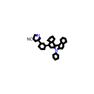 N#Cc1cncc(-c2cccc(-c3cc4c(c5ccccc35)c3c5ccccc5ccc3n4-c3ccccc3)c2)c1